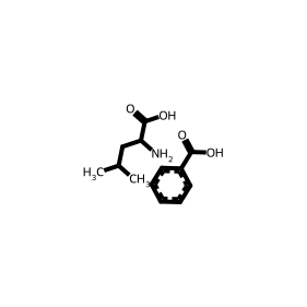 CC(C)CC(N)C(=O)O.O=C(O)c1ccccc1